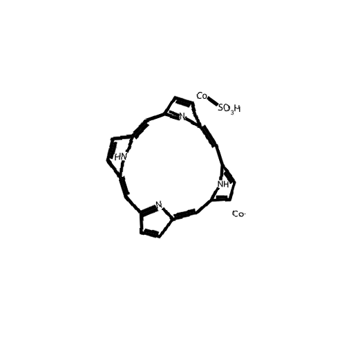 C1=Cc2cc3ccc(cc4nc(cc5ccc(cc1n2)[nH]5)C=C4)[nH]3.O=[S](=O)(O)[Co].[Co]